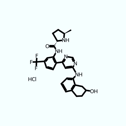 C[C@@H]1CC[C@@H](C(=O)Nc2cc(C(F)(F)F)ccc2-c2cc(Nc3cccc4c3CC(O)CC4)ncn2)N1.Cl